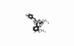 Cc1cccc2c(=O)n(NC(=O)Cc3ccc(F)cc3)c(C(C)(F)F)nc12